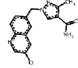 Cc1nn(Cc2ccc3ncc(Cl)cc3c2)cc1C(N)=O